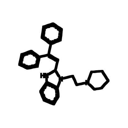 C(=C(c1ccccc1)c1ccccc1)C1Nc2ccccc2N1CCN1CCCCC1